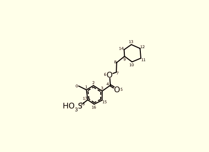 Cc1cc(C(=O)OCCC2CCCCC2)ccc1S(=O)(=O)O